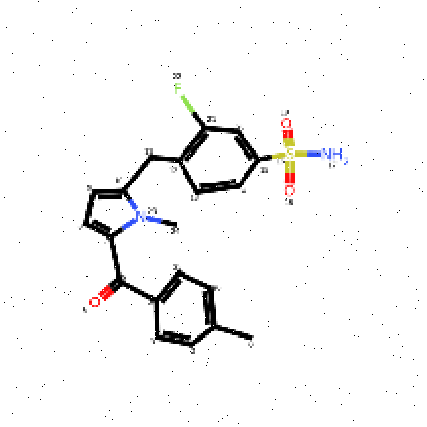 Cc1ccc(C(=O)c2ccc(Cc3ccc(S(N)(=O)=O)cc3F)n2C)cc1